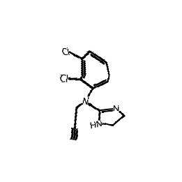 C#CCN(C1=NCCN1)c1cccc(Cl)c1Cl